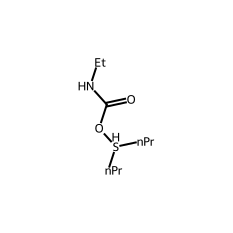 CCC[SH](CCC)OC(=O)NCC